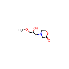 COCC(O)CN1CCOC(=O)C1